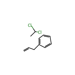 C=CCc1ccccc1.CC(Cl)Cl